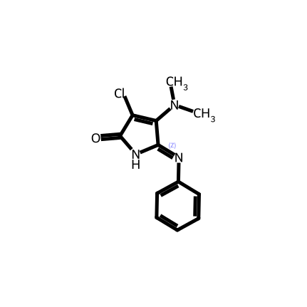 CN(C)C1=C(Cl)C(=O)N/C1=N\c1ccccc1